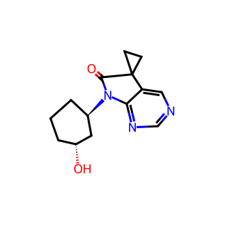 O=C1N([C@@H]2CCC[C@@H](O)C2)c2ncncc2C12CC2